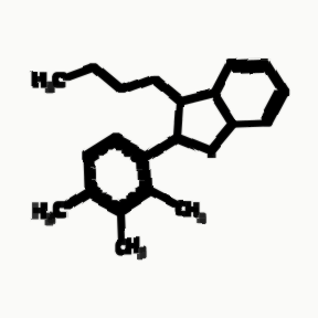 CCCCC1C(c2ccc(C)c(C)c2C)[C]C2C=CC=CC21